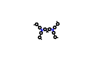 Cc1cccc(-c2ccc(N(c3ccc(-c4cccc(C)c4)cc3)c3ccc4c(c3)C(C)(C)c3cc(N(c5ccc(-c6cccc(C)c6)cc5)c5ccc(-c6cccc(C)c6)cc5)ccc3-4)cc2)c1